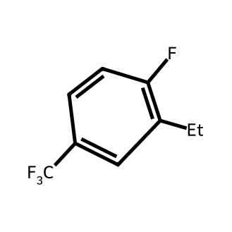 CCc1cc(C(F)(F)F)ccc1F